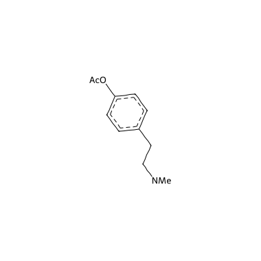 CNCCc1ccc(OC(C)=O)cc1